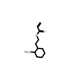 C=CC(=O)OCCC1CCCCC1C(=O)O